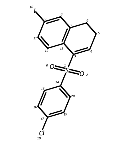 O=S(=O)(C1=CCCc2cc(I)ccc21)c1ccc(Cl)cc1